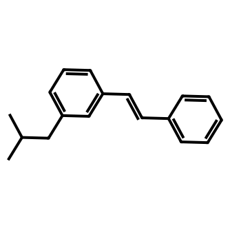 CC(C)Cc1cccc(C=Cc2ccccc2)c1